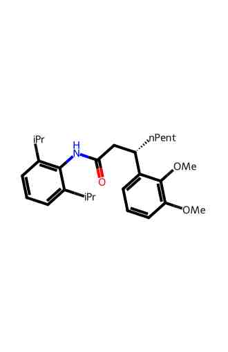 CCCCC[C@@H](CC(=O)Nc1c(C(C)C)cccc1C(C)C)c1cccc(OC)c1OC